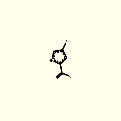 O=C(Cl)c1cc(Br)c[nH]1